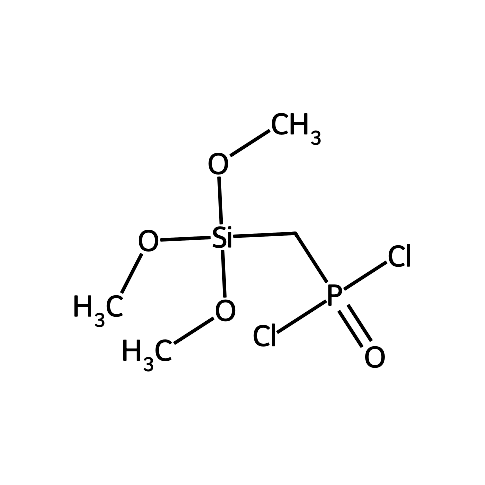 CO[Si](CP(=O)(Cl)Cl)(OC)OC